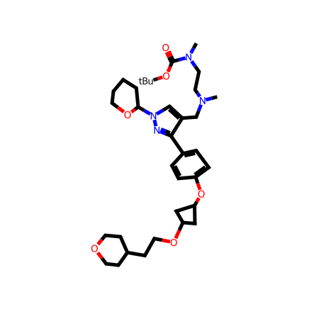 CN(CCN(C)C(=O)OC(C)(C)C)Cc1cn(C2CCCCO2)nc1-c1ccc(OC2CC(OCCC3CCOCC3)C2)cc1